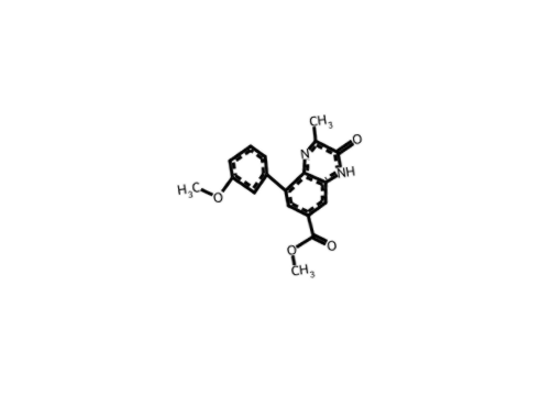 COC(=O)c1cc(-c2cccc(OC)c2)c2nc(C)c(=O)[nH]c2c1